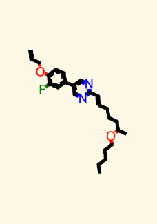 C=CCOc1ccc(-c2cnc(C=CCCCC(C)OCCCCC)nc2)cc1F